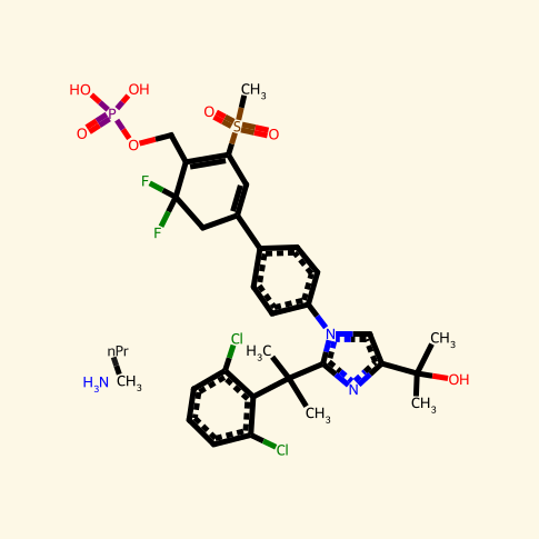 CC(C)(O)c1cn(-c2ccc(C3=CC(S(C)(=O)=O)=C(COP(=O)(O)O)C(F)(F)C3)cc2)c(C(C)(C)c2c(Cl)cccc2Cl)n1.CCCC.N